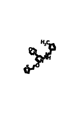 Cc1cccc(C=NNc2cc(N3CCOCC3)cc(OCCc3cccs3)n2)c1